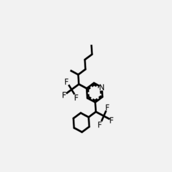 CCCCC(C)C(c1cncc(C(C2CCCCC2)C(F)(F)F)c1)C(F)(F)F